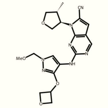 COCn1cc(Nc2ncc3cc(C#N)n([C@H]4COC[C@@H]4C)c3n2)c(OC2COC2)n1